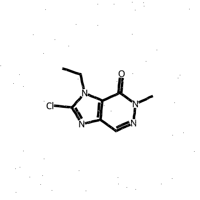 CCn1c(Cl)nc2cnn(C)c(=O)c21